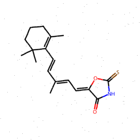 CC(C=CC1=C(C)CCCC1(C)C)=CC=C1OC(=S)NC1=O